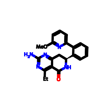 CCc1nc(N)nc2c1C(=O)N[C@@H](c1ccccc1-c1cccc(OC)n1)C2